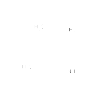 CC(C)C1C(C)C1N